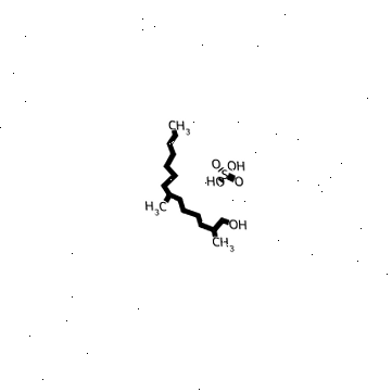 CCCCCCCC(C)CCCCC(C)CO.O=S(=O)(O)O